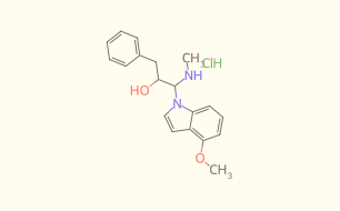 CNC(C(O)Cc1ccccc1)n1ccc2c(OC)cccc21.Cl